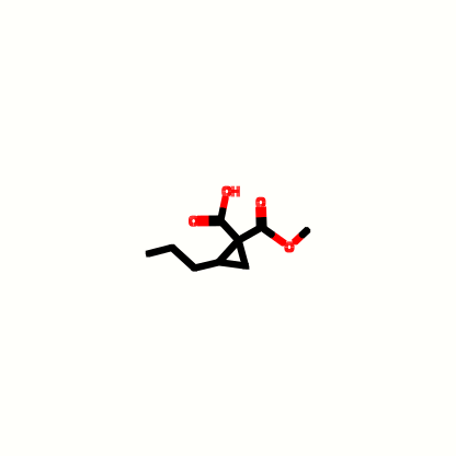 CCCC1CC1(C(=O)O)C(=O)OC